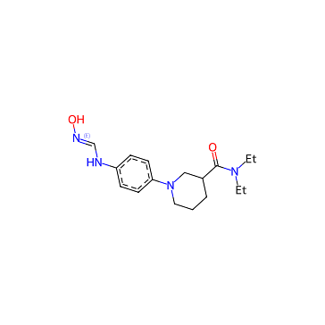 CCN(CC)C(=O)C1CCCN(c2ccc(N/C=N/O)cc2)C1